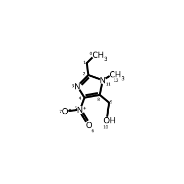 CCc1nc([N+](=O)[O-])c(CO)n1C